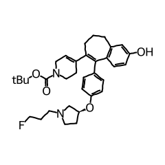 CC(C)(C)OC(=O)N1CC=C(C2=C(c3ccc(O[C@H]4CCN(CCCF)C4)cc3)c3ccc(O)cc3CCC2)CC1